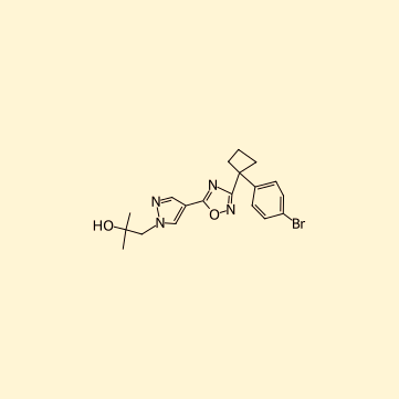 CC(C)(O)Cn1cc(-c2nc(C3(c4ccc(Br)cc4)CCC3)no2)cn1